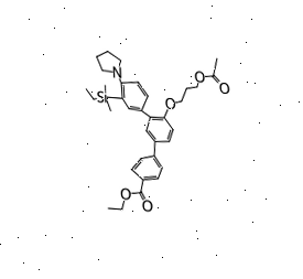 CCOC(=O)c1ccc(-c2ccc(OCCCOC(C)=O)c(-c3ccc(N4CCCC4)c([Si](C)(C)CC)c3)c2)cc1